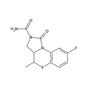 CC1Sc2ccc(F)cc2N2C(=O)N(C(N)=O)CC12